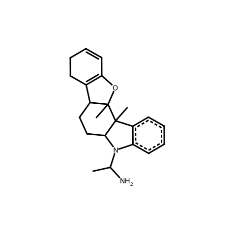 CC(N)N1c2ccccc2C2(C)C1CCC1C3=C(C=CCC3)OC12C